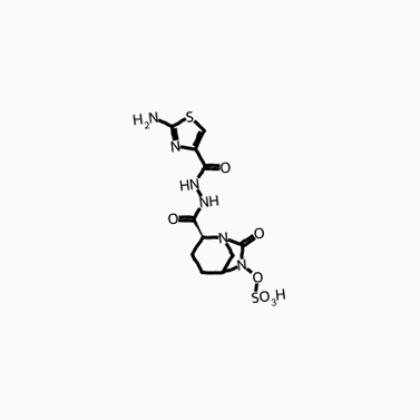 Nc1nc(C(=O)NNC(=O)[C@@H]2CCC3CN2C(=O)N3OS(=O)(=O)O)cs1